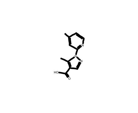 Cc1ccnc(-n2ncc(C(=O)O)c2C)c1